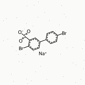 O=S(=O)([O-])c1cc(-c2ccc(Br)cc2)ccc1Br.[Na+]